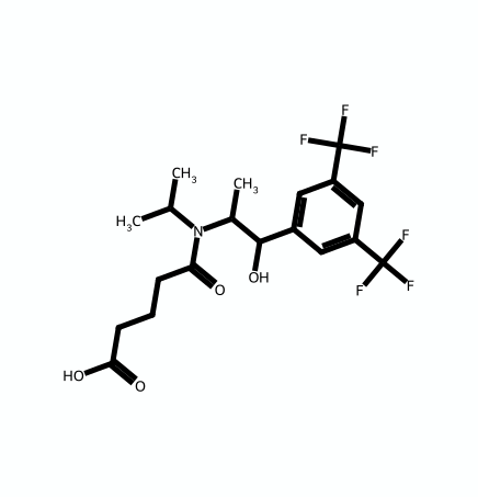 CC(C)N(C(=O)CCCC(=O)O)C(C)C(O)c1cc(C(F)(F)F)cc(C(F)(F)F)c1